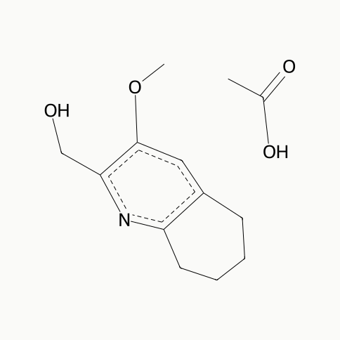 CC(=O)O.COc1cc2c(nc1CO)CCCC2